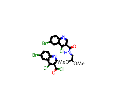 COC(CNC(=O)c1cnc2ccc(Br)cc2c1Cl)OC.O=C(Cl)c1cnc2ccc(Br)cc2c1Cl